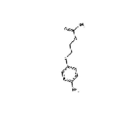 NC(=O)OCCOc1ccc(N)cc1